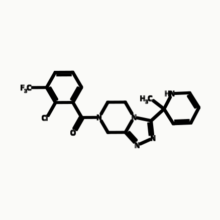 CC1(c2nnc3n2CCN(C(=O)c2cccc(C(F)(F)F)c2Cl)C3)C=CC=CN1